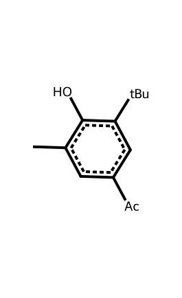 CC(=O)c1cc(C)c(O)c(C(C)(C)C)c1